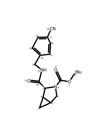 CC(C)(C)OC(=O)N1CC2CC2[C@H]1C(=O)NCc1ccc(C#N)cc1